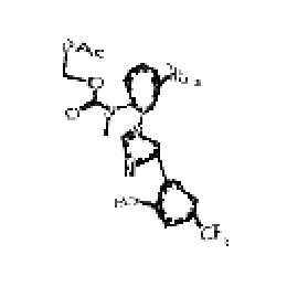 CC(=O)OCOC(=O)N(C)c1ccc([N+](=O)[O-])cc1-n1cnc(-c2ccc(C(F)(F)F)cc2O)c1